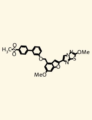 COc1cc(COc2cccc(-c3ccc(S(C)(=O)=O)cc3)c2)c2cc(-c3cn4nc(OC)sc4n3)oc2c1